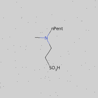 CCCCCN(C)CCS(=O)(=O)O